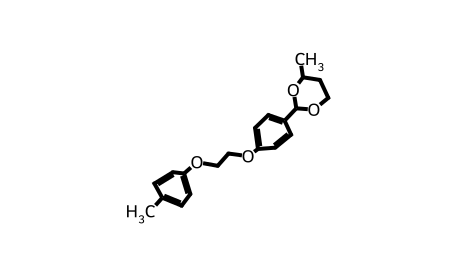 Cc1ccc(OCCOc2ccc(C3OCCC(C)O3)cc2)cc1